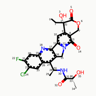 CC[C@@]1(O)C(=O)OCc2c1cc1n(c2=O)Cc2c-1nc1cc(F)c(Cl)cc1c2[C@H](C)NC(=O)[C@@H](C)O